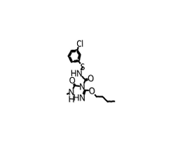 CCCCOC(=N)N(C(=O)NC)C(=O)NSc1cccc(Cl)c1